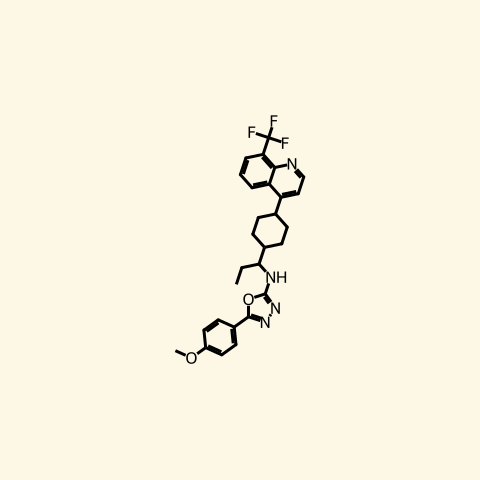 CCC(Nc1nnc(-c2ccc(OC)cc2)o1)C1CCC(c2ccnc3c(C(F)(F)F)cccc23)CC1